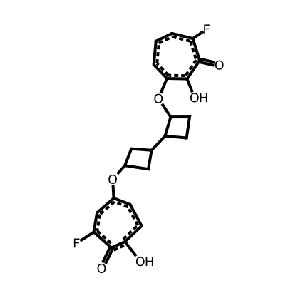 O=c1c(O)ccc(OC2CC(C3CCC3Oc3cccc(F)c(=O)c3O)C2)cc1F